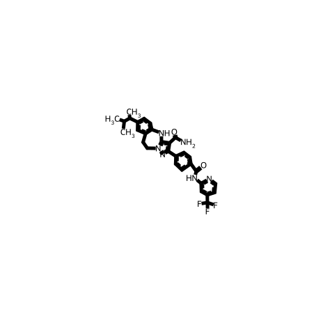 CC(C)C(C)c1ccc2c(c1)CCn1nc(-c3ccc(C(=O)Nc4cc(C(F)(F)F)ccn4)cc3)c(C(N)=O)c1N2